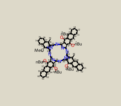 CCCCOc1c2c(c(OCCCC)c3cc4ccccc4cc13)-c1nc-2nc2[nH]c(nc3nc(nc4[nH]c(n1)c1c(C)c5cc6ccccc6cc5c(OCCCC)c41)-c1c-3c(OCCCC)c3cc4ccccc4cc3c1OCCCC)c1c(OC)c3ccccc3c(C)c21